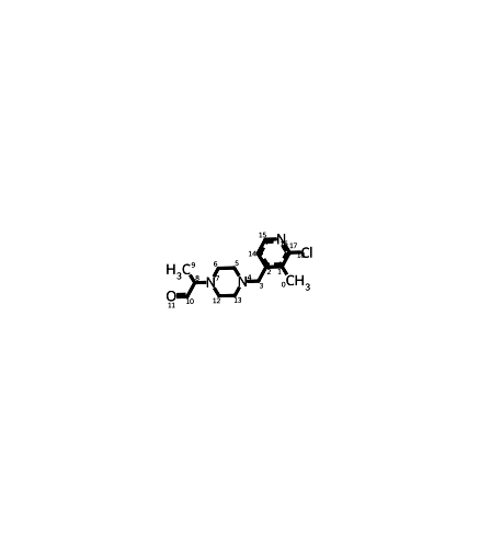 Cc1c(CN2CCN(C(C)C=O)CC2)ccnc1Cl